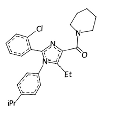 CCc1c(C(=O)N2CCCCC2)nc(-c2ccccc2Cl)n1-c1ccc(C(C)C)cc1